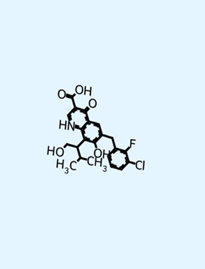 CC(C)C(CO)c1c(O)c(Cc2cccc(Cl)c2F)cc2c(=O)c(C(=O)O)c[nH]c12